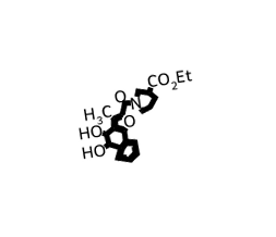 CCOC(=O)C1CCCN(C(=O)c2oc3c(c2C)C(O)C(O)c2ccccc2-3)C1